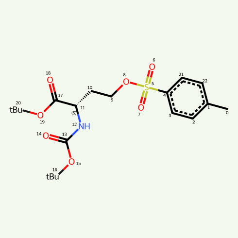 Cc1ccc(S(=O)(=O)OCC[C@H](NC(=O)OC(C)(C)C)C(=O)OC(C)(C)C)cc1